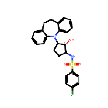 O=S(=O)(NC1CCC(N2c3ccccc3CCc3ccccc32)[C@H]1O)c1ccc(Cl)cc1